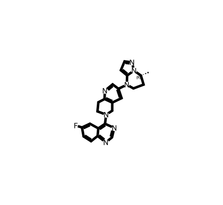 C[C@@H]1CCN(c2cnc3c(c2)CN(c2ncnc4ccc(F)cc24)CC3)c2ccnn21